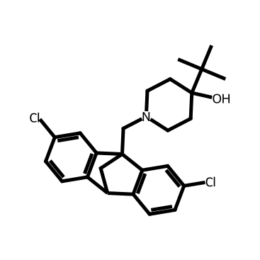 CC(C)(C)C1(O)CCN(CC23CC(c4ccc(Cl)cc42)c2ccc(Cl)cc23)CC1